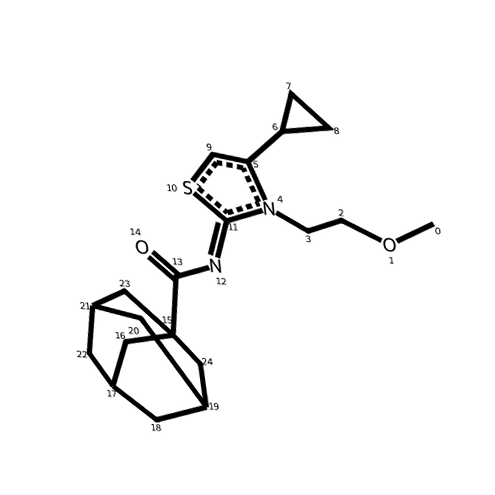 COCCn1c(C2CC2)csc1=NC(=O)C12CC3CC(CC(C3)C1)C2